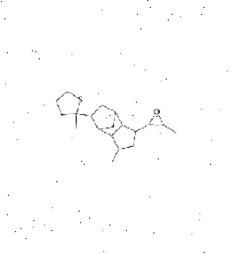 CC1CC(C2OC2C)C2C3CC(C12)C(C1(C)CCCS1)C3